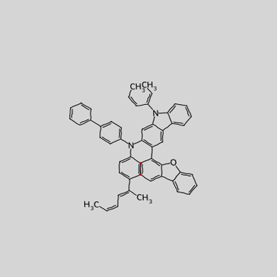 C/C=C\C=C(/C)c1ccc(N(c2ccc(-c3ccccc3)cc2)c2cc3c(cc2-c2cccc4c2oc2ccccc24)c2ccccc2n3C(/C=C\C)=C/C)cc1